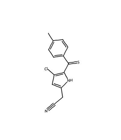 Cc1ccc(C(=S)c2[nH]c(CC#N)cc2Cl)cc1